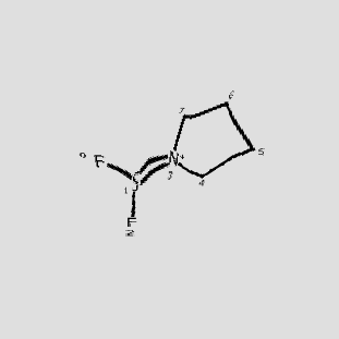 FS(F)=[N+]1CCCC1